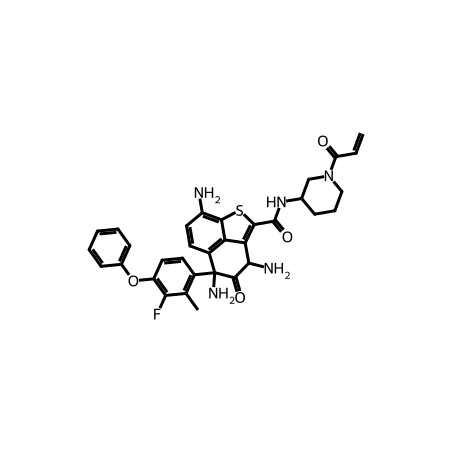 C=CC(=O)N1CCCC(NC(=O)c2sc3c(N)ccc4c3c2C(N)C(=O)C4(N)c2ccc(Oc3ccccc3)c(F)c2C)C1